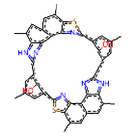 Cc1cc2c(O)c(c1)c1nc3c(s1)c(C)cc1cc(C)c4[nH]c(nc4c13)c1cc(C)cc(c1O)c1nc3c(s1)c(C)cc1cc(C)c4[nH]c2nc4c13